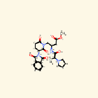 COC(=O)CC(CN1C(=O)CC[C@H](N2C(=O)c3ccccc3C2=O)C1=O)NC(=O)C(C)N1CCCC1